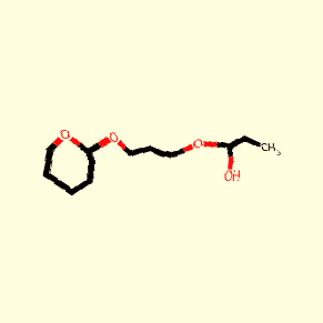 CCC(O)OCCCOC1CCCCO1